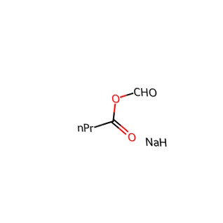 CCCC(=O)OC=O.[NaH]